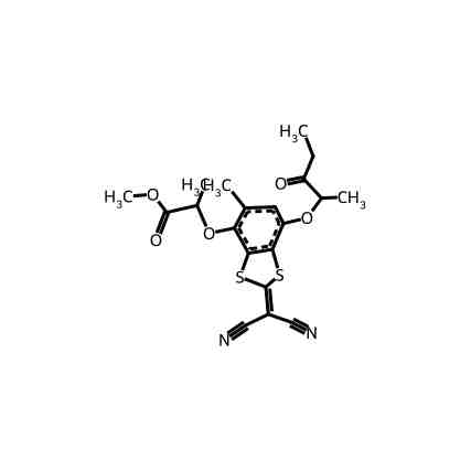 CCC(=O)C(C)Oc1cc(C)c(OC(C)C(=O)OC)c2c1SC(=C(C#N)C#N)S2